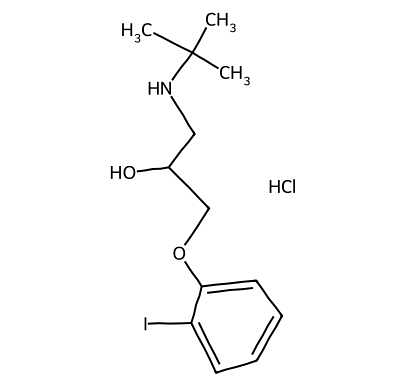 CC(C)(C)NCC(O)COc1ccccc1I.Cl